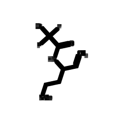 C=CC(CCNC)NC(=O)C(F)(F)CC